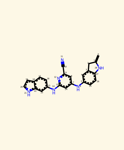 C=C1Cc2cc(Nc3cc(C#N)nc(Nc4ccc5cc[nH]c5c4)c3)ccc2N1